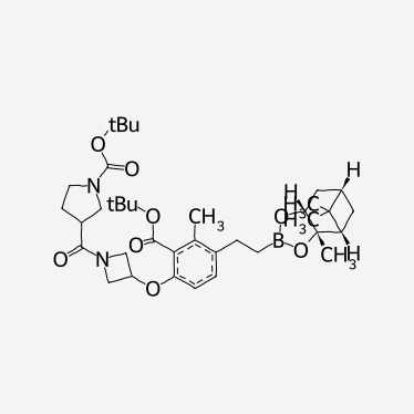 Cc1c(CCB2O[C@@H]3C[C@@H]4C[C@@H](C4(C)C)[C@]3(C)O2)ccc(OC2CN(C(=O)C3CCN(C(=O)OC(C)(C)C)C3)C2)c1C(=O)OC(C)(C)C